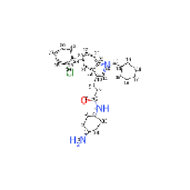 NC1CCC(NC(=O)CCc2cn(CC3CCCCC3)c3ccc(-c4ccccc4Cl)cc23)CC1